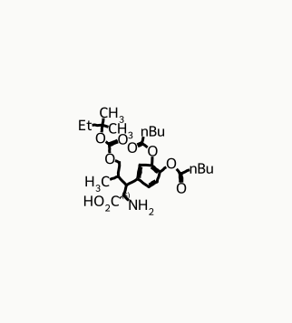 CCCCC(=O)Oc1ccc(C(C(C)COC(=O)OC(C)(C)CC)[C@H](N)C(=O)O)cc1OC(=O)CCCC